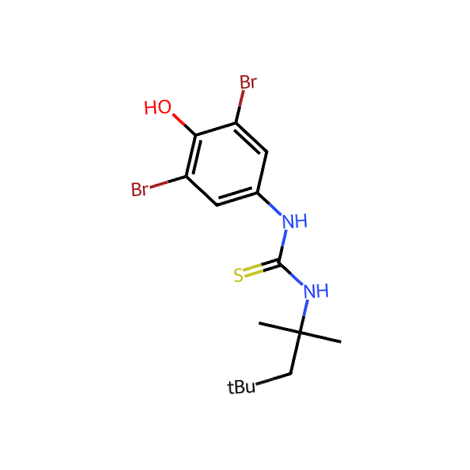 CC(C)(C)CC(C)(C)NC(=S)Nc1cc(Br)c(O)c(Br)c1